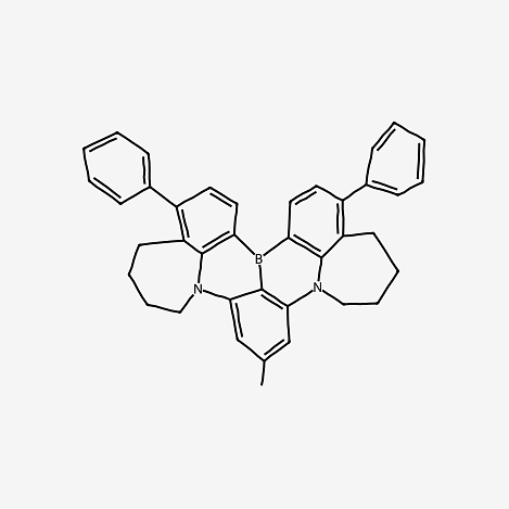 Cc1cc2c3c(c1)N1CCCCc4c(-c5ccccc5)ccc(c41)B3c1ccc(-c3ccccc3)c3c1N2CCCC3